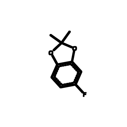 CC1(C)Oc2ccc(F)cc2O1